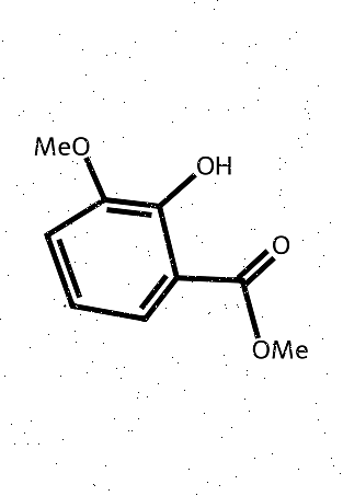 COC(=O)c1c[c]cc(OC)c1O